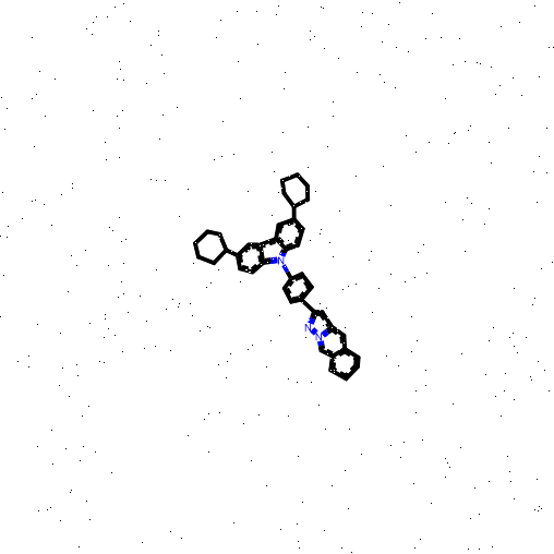 c1ccc2cn3nc(-c4ccc(-n5c6ccc(C7CCCCC7)cc6c6cc(C7CCCCC7)ccc65)cc4)cc3cc2c1